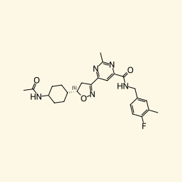 CC(=O)NC1CCC([C@@H]2CC(c3cc(C(=O)NCc4ccc(F)c(C)c4)nc(C)n3)=NO2)CC1